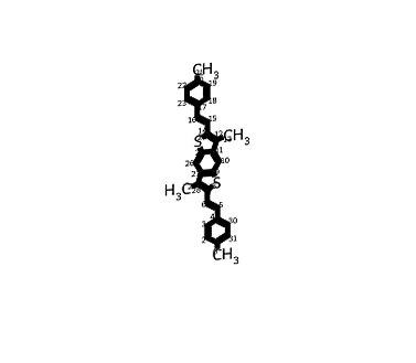 Cc1ccc(C=Cc2sc3cc4c(C)c(C=Cc5ccc(C)cc5)sc4cc3c2C)cc1